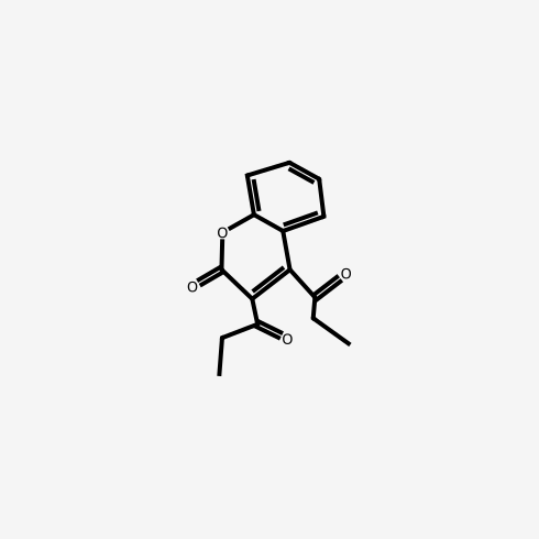 CCC(=O)c1c(C(=O)CC)c2ccccc2oc1=O